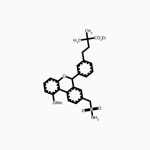 CCOC(=O)C(C)(C)CCc1cccc(C2Oc3cccc(OC)c3-c3ccc(CS(N)(=O)=O)cc32)c1